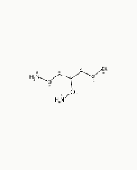 CCOCC(CON)ON